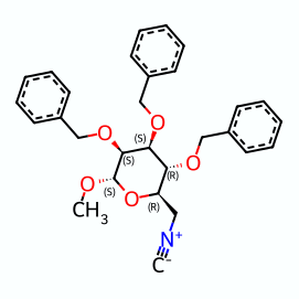 [C-]#[N+]C[C@H]1O[C@H](OC)[C@@H](OCc2ccccc2)[C@@H](OCc2ccccc2)[C@@H]1OCc1ccccc1